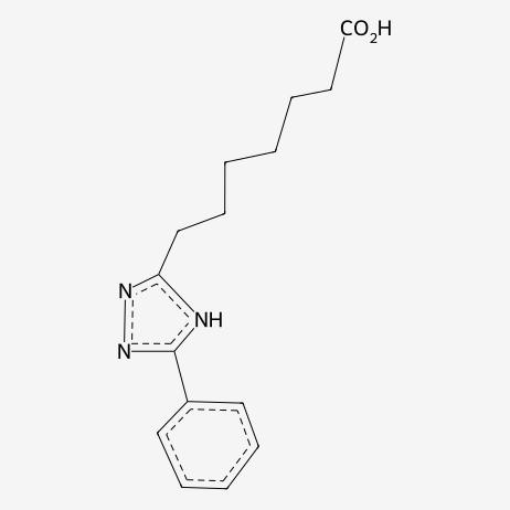 O=C(O)CCCCCCc1nnc(-c2ccccc2)[nH]1